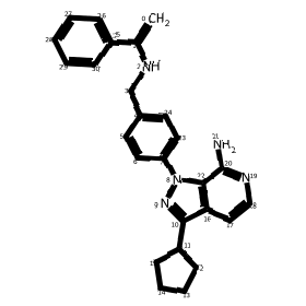 C=C(NCc1ccc(-n2nc(C3CCCC3)c3ccnc(N)c32)cc1)c1ccccc1